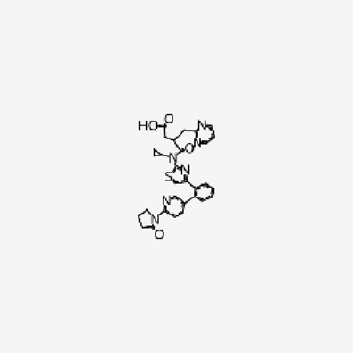 O=C(O)CC(Cc1ncccn1)C(=O)N(c1nc(-c2ccccc2-c2ccc(N3CCCC3=O)nc2)cs1)C1CC1